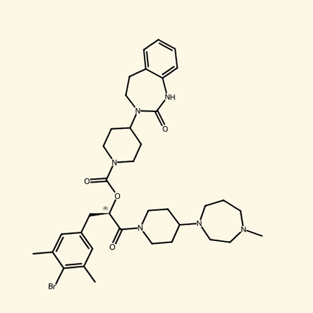 Cc1cc(C[C@@H](OC(=O)N2CCC(N3CCc4ccccc4NC3=O)CC2)C(=O)N2CCC(N3CCCN(C)CC3)CC2)cc(C)c1Br